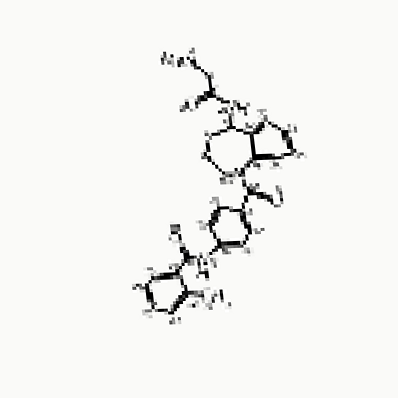 CNCC(=O)NC1CCCN(C(=O)c2ccc(NC(=O)c3ccccc3C)cc2)c2ccccc21